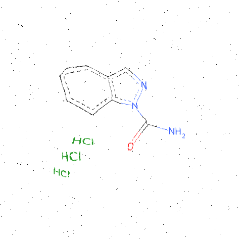 Cl.Cl.Cl.NC(=O)n1ncc2cc[c]cc21